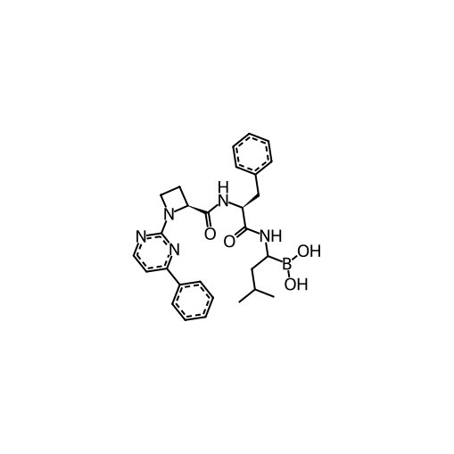 CC(C)CC(NC(=O)[C@H](Cc1ccccc1)NC(=O)[C@@H]1CCN1c1nccc(-c2ccccc2)n1)B(O)O